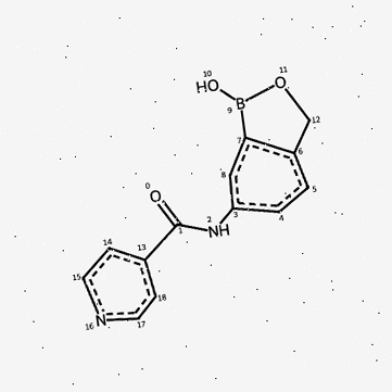 O=C(Nc1ccc2c(c1)B(O)OC2)c1ccncc1